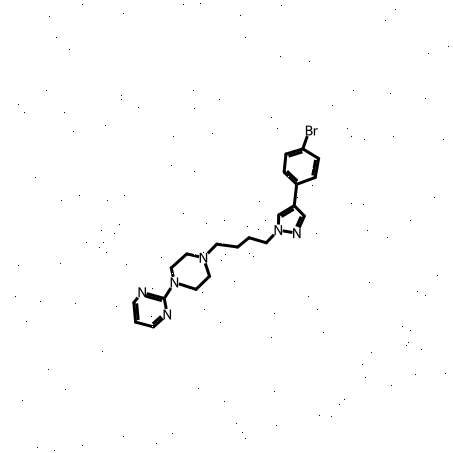 Brc1ccc(-c2cnn(CCCCN3CCN(c4ncccn4)CC3)c2)cc1